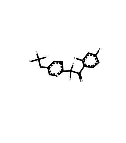 O=C(c1ccc(F)cc1F)C(F)(F)c1ccc(CC(F)(F)F)cn1